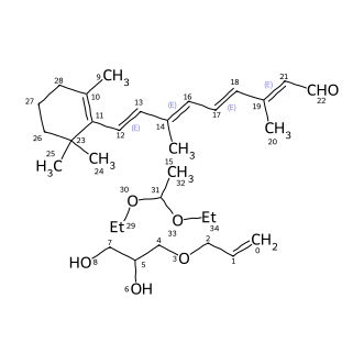 C=CCOCC(O)CO.CC1=C(/C=C/C(C)=C/C=C/C(C)=C/C=O)C(C)(C)CCC1.CCOC(C)OCC